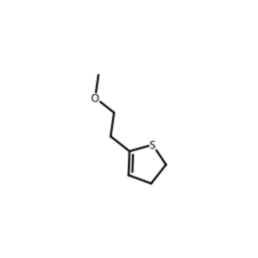 COCCC1=CCCS1